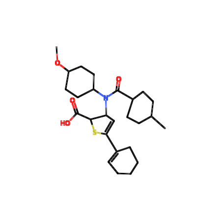 COC1CCC(N(C(=O)C2CCC(C)CC2)C2C=C(C3=CCCCC3)SC2C(=O)O)CC1